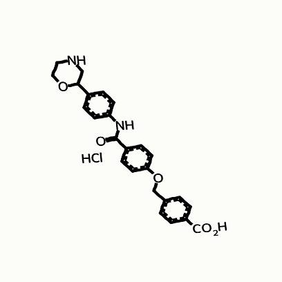 Cl.O=C(O)c1ccc(COc2ccc(C(=O)Nc3ccc(C4CNCCO4)cc3)cc2)cc1